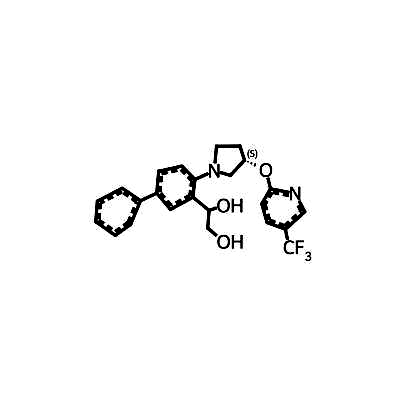 OCC(O)c1cc(-c2ccccc2)ccc1N1CC[C@H](Oc2ccc(C(F)(F)F)cn2)C1